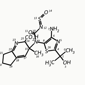 CC(C)(O)c1nc(N)c(N(C(=O)N=S=O)C2(C)C=C3CCCC3=NC2C(=O)O)s1